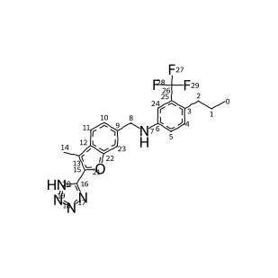 CCCc1ccc(NCc2ccc3c(C)c(-c4nnn[nH]4)oc3c2)cc1C(F)(F)F